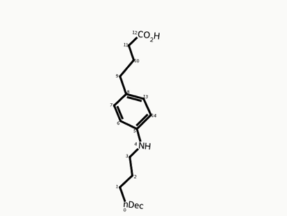 CCCCCCCCCCCCCNc1ccc(CCCC(=O)O)cc1